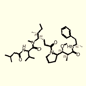 CC[C@@H](C)[C@H](CCC(=O)N1CCCC1[C@@H](OC)[C@H](C)C(=O)N[C@@H](C)Cc1ccccc1)N(C)C(=O)C(NC(=O)CC(C)C)C(C)C